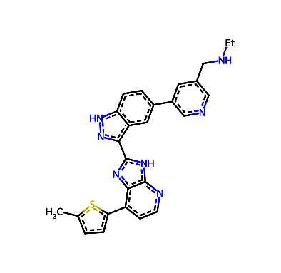 CCNCc1cncc(-c2ccc3[nH]nc(-c4nc5c(-c6ccc(C)s6)ccnc5[nH]4)c3c2)c1